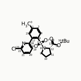 Cc1ccc(S(=O)(=O)N2CCC[C@H]2C(=O)OC(C)(C)C)c(-c2cccc(Cl)n2)c1